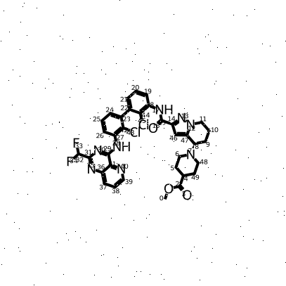 COC(=O)C1CCN([C@H]2CCCn3nc(C(=O)Nc4cccc(-c5cccc(Nc6nc(C(F)F)nc7cccnc67)c5Cl)c4Cl)cc32)CC1